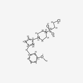 COc1cccc(Cc2nsc(N3CCN(S(=O)(=O)CCCl)CC3)n2)c1